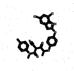 Cc1ccc(N(C)C(=O)C(C#N)C(=O)C(C)Oc2ccc(Oc3cc4cc(Cl)cc(Cl)c4[nH]3)cc2)cc1